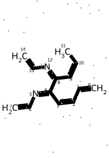 C=C\C=C/C(=N\C=C)C(/C=C\C)=N\C=C